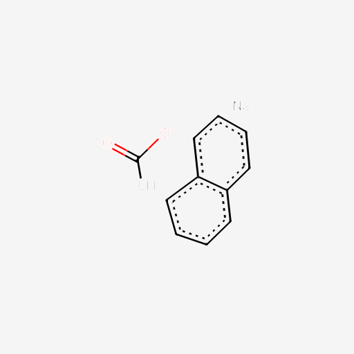 CC(=O)[O-].[Na+].c1ccc2ccccc2c1